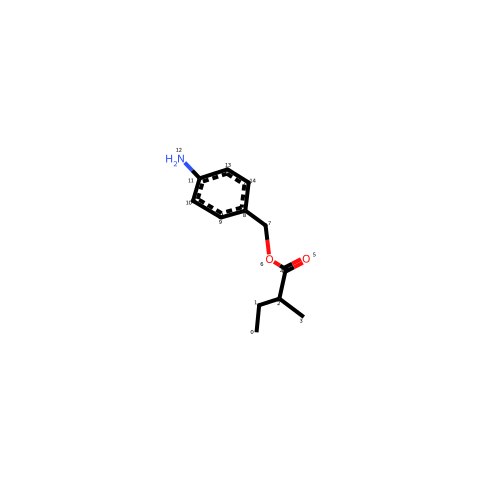 CCC(C)C(=O)OCc1ccc(N)cc1